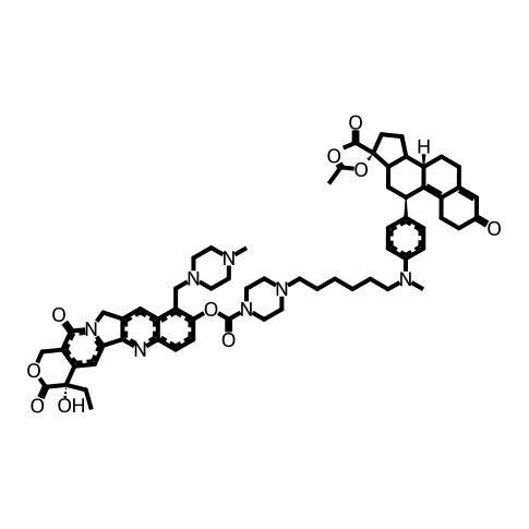 CC[C@@]1(O)C(=O)OCc2c1cc1n(c2=O)Cc2cc3c(CN4CCN(C)CC4)c(OC(=O)N4CCN(CCCCCCN(C)c5ccc([C@H]6CC7C(CC[C@]7(OC(C)=O)C(C)=O)[C@@H]7CCC8=CC(=O)CCC8=C76)cc5)CC4)ccc3nc2-1